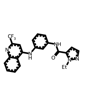 CCn1nccc1C(=O)Nc1cccc(Nc2cc(C(F)(F)F)nc3ccccc23)c1